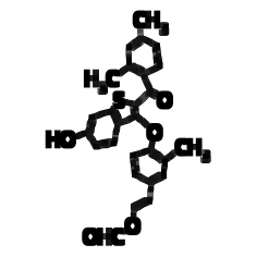 Cc1ccc(C(=O)c2sc3cc(O)ccc3c2Oc2ccc(/C=C/OC=O)cc2C)c(C)c1